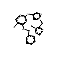 Cn1ncnc1Cn1cc(Nc2ncc(Cl)c(NCc3ccccc3)n2)cn1